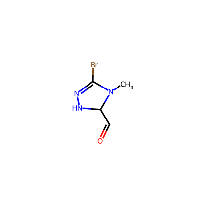 CN1C(Br)=NNC1C=O